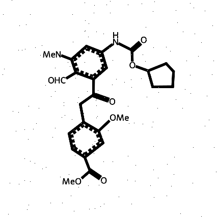 CNc1cc(NC(=O)OC2CCCC2)cc(C(=O)Cc2ccc(C(=O)OC)cc2OC)c1C=O